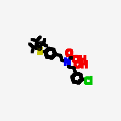 CC(C)[Si](Sc1ccc(CCN(C[C@@H](O)c2cccc(Cl)c2)C(=O)O)cc1)(C(C)C)C(C)C